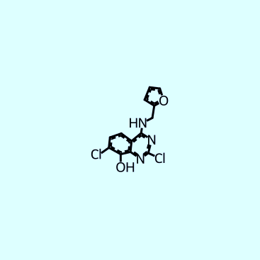 Oc1c(Cl)ccc2c(NCc3ccco3)nc(Cl)nc12